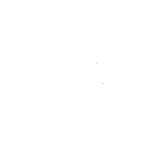 CCN1Cc2cc(OC)ccc2S(=O)(=O)N1